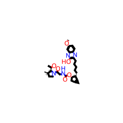 COc1ccc2nc(CCCCC[C@H]3C(OC(=O)NCC(=O)N4CC[C@@H](C)[C@H]4C(C)=O)CC4CC43)c(O)nc2c1